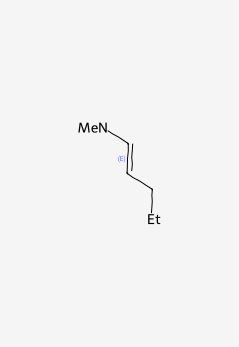 [CH2]CC/C=C/NC